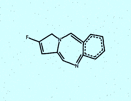 FC1=CC2=CN=c3ccccc3=CN2C1